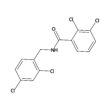 O=C(NCc1ccc(Cl)cc1Cl)c1cccc(Cl)c1Cl